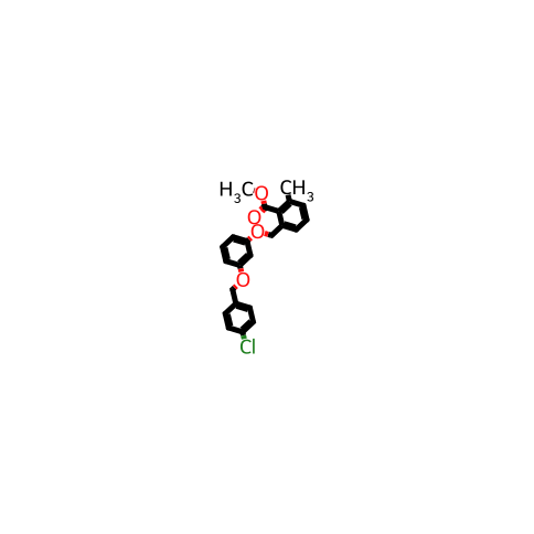 COC(=O)c1c(C)cccc1COc1cccc(OCc2ccc(Cl)cc2)c1